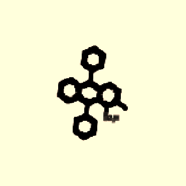 Cc1ccc2c(-c3ccccc3)c3ccccc3c(-c3ccccc3)c2c1S(=O)(=O)O